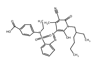 CCCCC(CC)Cn1c(O)c(/N=N/c2ccccc2S(=O)(=O)N(CC)c2ccc(C(=O)O)cc2)c(C)c(C#N)c1=O